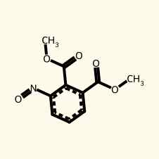 COC(=O)c1cccc(N=O)c1C(=O)OC